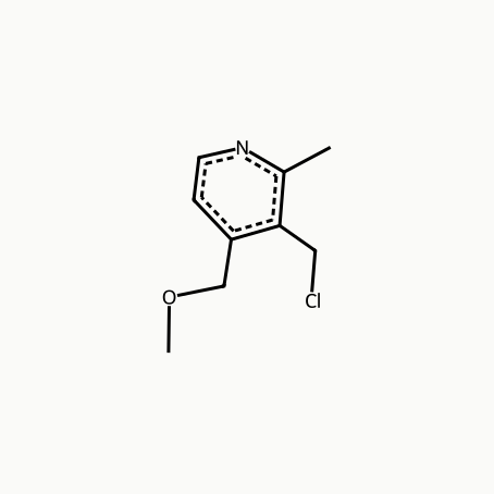 COCc1ccnc(C)c1CCl